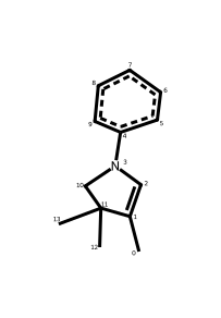 CC1=CN(c2ccccc2)CC1(C)C